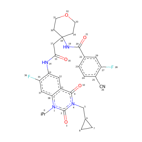 CC(C)n1c(=O)n(CC2CC2)c(=O)c2cc(NC(=O)CC3(NC(=O)c4ccc(C#N)c(F)c4)CCOCC3)c(F)cc21